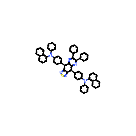 c1ccc(-c2nc3c(-c4ccc(N(c5ccccc5)c5cccc6ccccc56)cc4)c4nsnc4c(-c4ccc(N(c5ccccc5)c5cccc6ccccc56)cc4)c3nc2-c2ccccc2)cc1